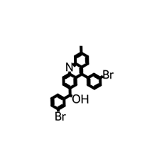 Cc1ccc2c(-c3cccc(Br)c3)c3cc(C(O)c4cccc(Br)c4)ccc3nc2c1